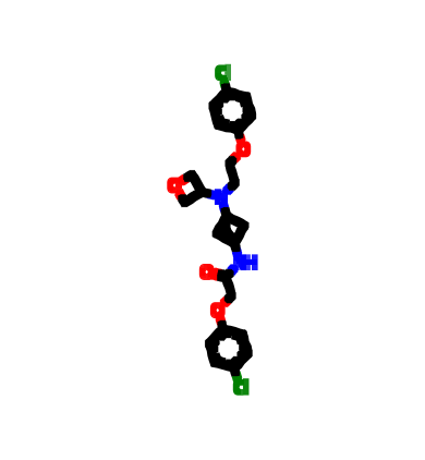 O=C(COc1ccc(Cl)cc1)NC12CC(N(CCOc3ccc(Cl)cc3)C3COC3)(C1)C2